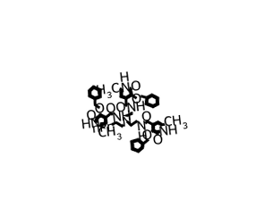 CCCC(CN(CCNC(=O)c1cc(C)[nH]c(=O)c1OCc1ccccc1)CCNC(=O)c1cc(C)[nH]c(=O)c1OCc1ccccc1)NC(=O)c1cc(C)[nH]c(=O)c1OCc1ccccc1